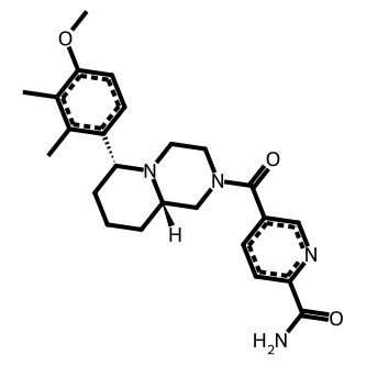 COc1ccc([C@H]2CCC[C@H]3CN(C(=O)c4ccc(C(N)=O)nc4)CCN32)c(C)c1C